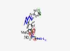 COc1cc(-c2nnn(CC3CCC(F)(F)CC3)n2)ccc1S(=O)(=O)N(CC(N)=O)C(=O)O